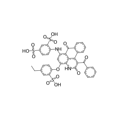 CCc1ccc(Oc2cc(Nc3ccc(S(=O)(=O)O)cc3S(=O)(=O)O)c3c4c(c(C(=O)c5ccccc5)c(=O)[nH]c24)-c2ccccc2C3=O)c(S(=O)(=O)O)c1